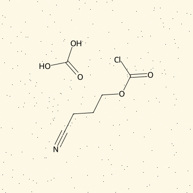 N#CCCCOC(=O)Cl.O=C(O)O